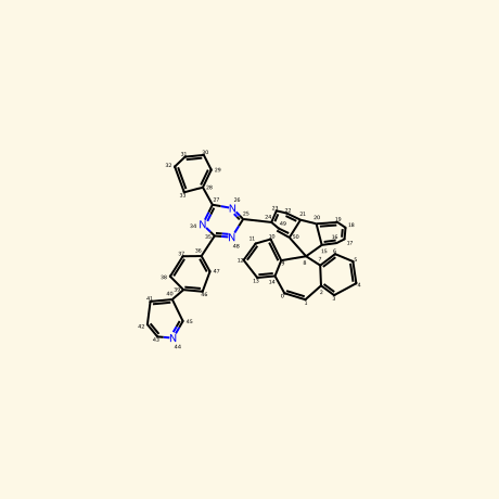 C1=Cc2ccccc2C2(c3ccccc31)c1ccccc1-c1ccc(-c3nc(-c4ccccc4)nc(-c4ccc(-c5cccnc5)cc4)n3)cc12